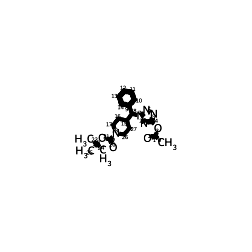 CC(=O)Oc1nnn(C(c2ccccc2)C2CCN(C(=O)OC(C)(C)C)CC2)n1